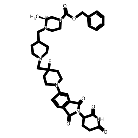 C[C@H]1CN(C(=O)OCc2ccccc2)CCN1CC1CCN(CC2(F)CCN(c3ccc4c(c3)C(=O)N(C3CCC(=O)NC3=O)C4=O)CC2)CC1